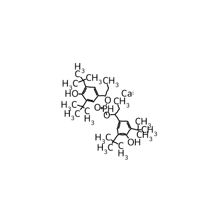 CCC(O[PH](=O)OC(CC)c1cc(C(C)(C)C)c(O)c(C(C)(C)C)c1)c1cc(C(C)(C)C)c(O)c(C(C)(C)C)c1.[Ca]